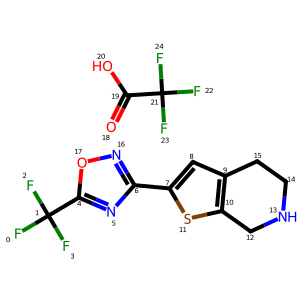 FC(F)(F)c1nc(-c2cc3c(s2)CNCC3)no1.O=C(O)C(F)(F)F